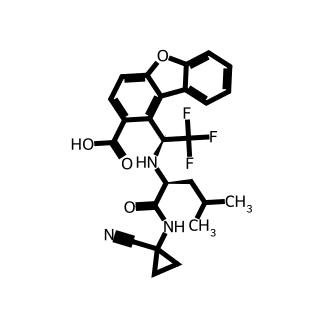 CC(C)C[C@H](N[C@@H](c1c(C(=O)O)ccc2oc3ccccc3c12)C(F)(F)F)C(=O)NC1(C#N)CC1